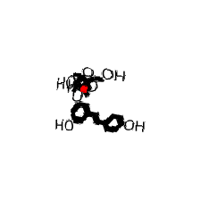 CC1(Oc2cc(O)cc(/C=C/c3ccc(O)cc3)c2)OC2(CO)OC(C)(C1(C)O)C2(C)O